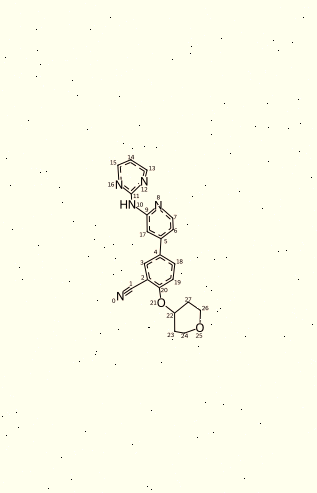 N#Cc1cc(-c2ccnc(Nc3ncccn3)c2)ccc1OC1CCOCC1